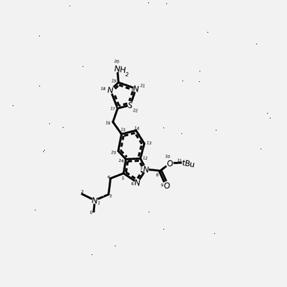 CN(C)CCc1nn(C(=O)OC(C)(C)C)c2ccc(Cc3nc(N)ns3)cc12